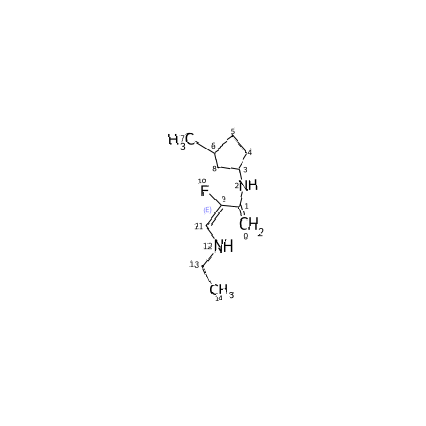 C=C(NC1CCC(C)C1)/C(F)=C\NCC